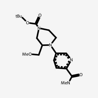 CNC(=O)c1ccc(N2CCN(C(=O)OC(C)(C)C)CC2COC)cn1